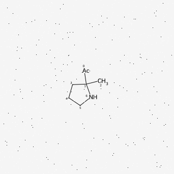 CC(=O)C1(C)CCCN1